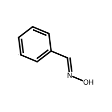 ON=Cc1c[c]ccc1